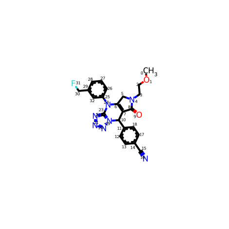 COCCN1CC2=C(C1=O)C(c1ccc(C#N)cc1)n1nnnc1N2c1cccc(CF)c1